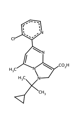 CC1=CC(c2ncccc2Cl)=NC2=C(C(=O)O)CN(C(C)(C)C3CC3)N12